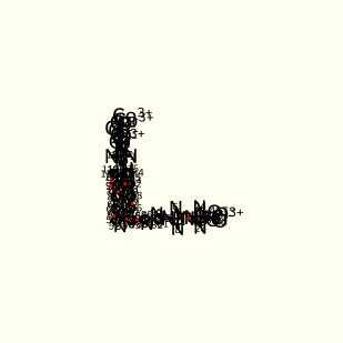 N#C[B-](C#N)(C#N)C#N.N#C[B-](C#N)(C#N)C#N.N#C[B-](C#N)(C#N)C#N.[Co+3].[Co+3].[O-][Cl+3]([O-])([O-])[O-].[O-][Cl+3]([O-])([O-])[O-].[O-][Cl+3]([O-])([O-])[O-].c1ccc(-c2ccccn2)nc1.c1ccc(-c2ccccn2)nc1.c1ccc(-c2ccccn2)nc1.c1ccc(-c2ccccn2)nc1.c1ccc(-c2ccccn2)nc1.c1ccc(-c2ccccn2)nc1